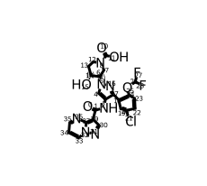 O=C(Nc1cn([C@@H]2CN(C(=O)O)CC[C@H]2O)nc1-c1cc(Cl)ccc1OC(F)F)c1cnn2cccnc12